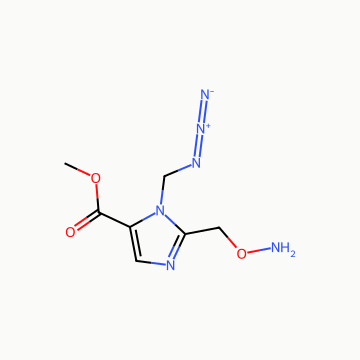 COC(=O)c1cnc(CON)n1CN=[N+]=[N-]